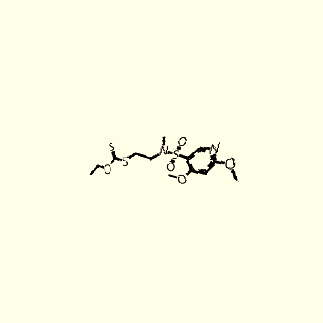 CCOC(=S)SCCN(C)S(=O)(=O)c1cnc(OC)cc1OC